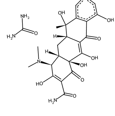 CN(C)[C@@H]1C(O)=C(C(N)=O)C(=O)[C@@]2(O)C(O)=C3C(=O)c4c(O)cccc4[C@@](C)(O)[C@H]3C[C@@H]12.NC(N)=O